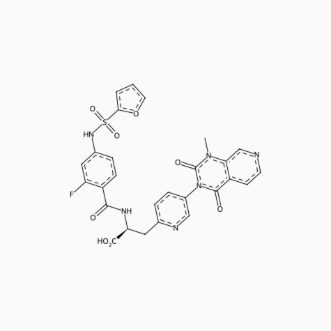 Cn1c(=O)n(-c2ccc(C[C@H](NC(=O)c3ccc(NS(=O)(=O)c4ccco4)cc3F)C(=O)O)nc2)c(=O)c2ccncc21